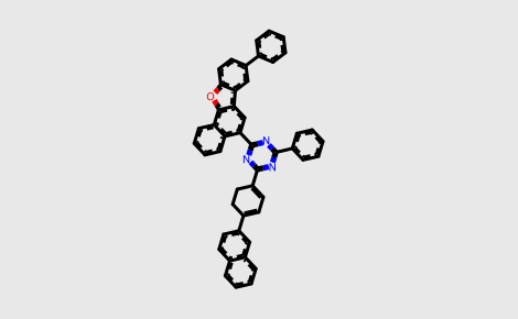 C1=C(c2ccc3ccccc3c2)CCC(c2nc(-c3ccccc3)nc(-c3cc4c5cc(-c6ccccc6)ccc5oc4c4ccccc34)n2)=C1